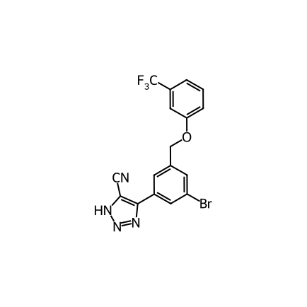 N#Cc1[nH]nnc1-c1cc(Br)cc(COc2cccc(C(F)(F)F)c2)c1